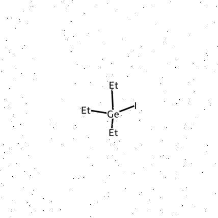 C[CH2][Ge]([I])([CH2]C)[CH2]C